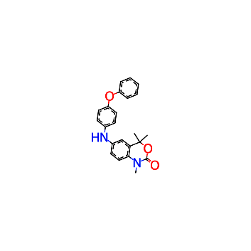 CN1C(=O)OC(C)(C)c2cc(Nc3ccc(Oc4ccccc4)cc3)ccc21